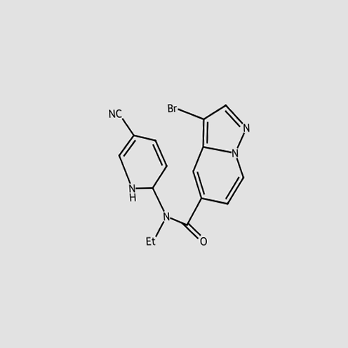 CCN(C(=O)c1ccn2ncc(Br)c2c1)C1C=CC(C#N)=CN1